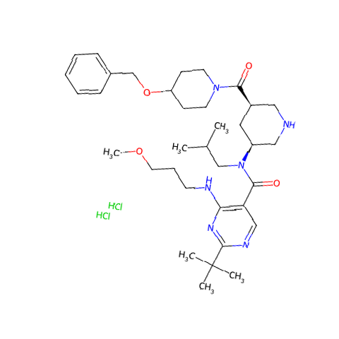 COCCCNc1nc(C(C)(C)C)ncc1C(=O)N(CC(C)C)[C@@H]1CNC[C@H](C(=O)N2CCC(OCc3ccccc3)CC2)C1.Cl.Cl